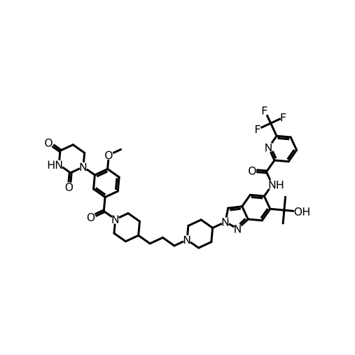 COc1ccc(C(=O)N2CCC(CCCN3CCC(n4cc5cc(NC(=O)c6cccc(C(F)(F)F)n6)c(C(C)(C)O)cc5n4)CC3)CC2)cc1N1CCC(=O)NC1=O